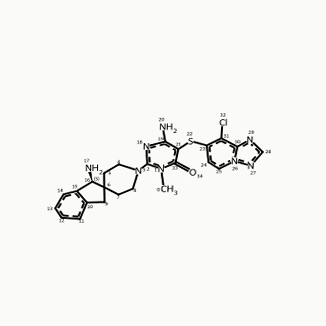 Cn1c(N2CCC3(CC2)Cc2ccccc2[C@H]3N)nc(N)c(Sc2ccn3ncnc3c2Cl)c1=O